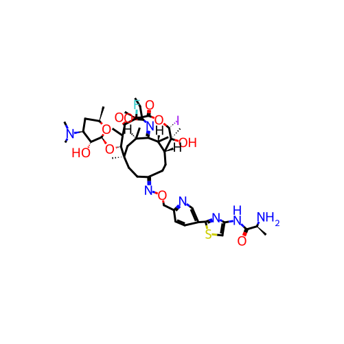 CCC(=O)/N=C1\[C@H](C)C[C@@]2(C)CC/C(=N/OCc3ccc(-c4nc(NC(=O)[C@H](C)N)cs4)cn3)CC[C@H]([C@H]1C)[C@](C)(O)[C@@H](I)OC(=O)[C@@](C)(F)C(=O)C(C)[C@H]2O[C@@H]1O[C@H](C)C[C@H](N(C)C)[C@H]1O